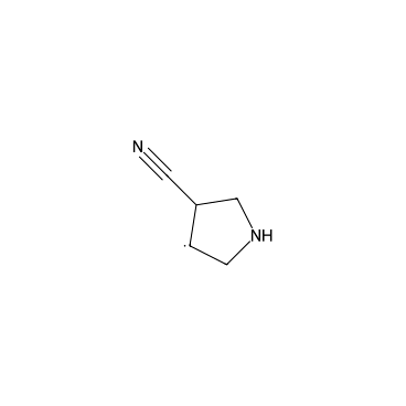 N#CC1[CH]CNC1